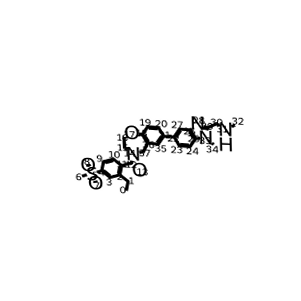 CCc1cc(S(C)(=O)=O)ccc1C(=O)N1CCOc2ccc(-c3ccc4c(c3)nc(CNC)n4C)cc2C1